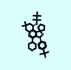 CC1(C)Cc2nc(C3CCOCC3)c3c(c2[C@@H](O[Si](C)(C)C(C)(C)C)C1)C1(CCCC1)O[C@H]3c1ccc(C(F)(F)F)cc1